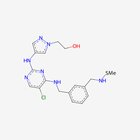 CSNCc1cccc(CNc2nc(Nc3cnn(CCO)c3)ncc2Cl)c1